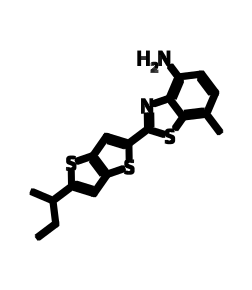 CCC(C)c1cc2sc(-c3nc4c(N)ccc(C)c4s3)cc2s1